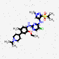 CCOc1cc(C2CCN(C(C)C)CC2)c(C)cc1Nc1ncc(Cl)c(Nc2cn(C)nc2S(=O)(=O)C(C)C)n1